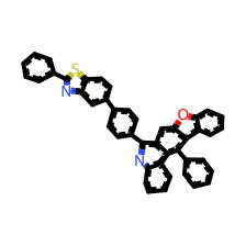 c1ccc(-c2nc3cc(-c4ccc(-c5nc6ccccc6c6c(-c7ccccc7)c7c(cc56)oc5ccccc57)cc4)ccc3s2)cc1